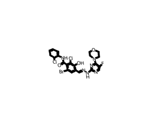 O=C(NC1=CC=CCC1Cl)c1c(Br)cc(/C=N/Nc2ncc(F)c(N3CCOCC3)n2)c(O)c1Cl